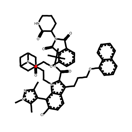 Cc1nn(C)c(C)c1-c1c(Cl)ccc2c(CCCOc3cccc4ccccc34)c(C(=O)OC(C)(C)C)n(CCN3CC4CC(C3)N4C(=O)COc3cccc4c3C(=O)N(C3CCCNC3=O)C4=O)c12